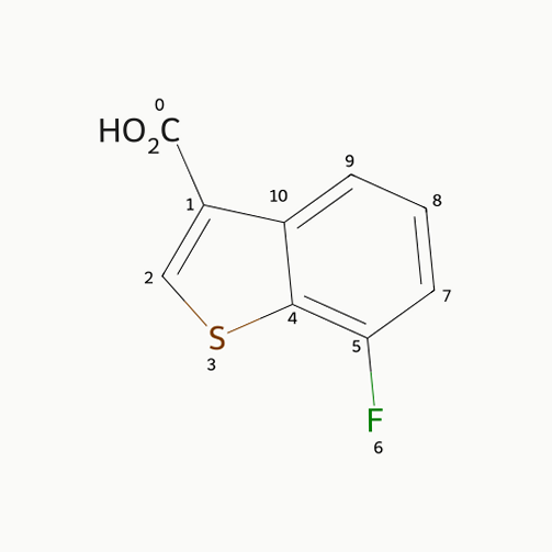 O=C(O)c1csc2c(F)cccc12